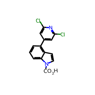 O=C(O)n1ccc2c(-c3cc(Cl)nc(Cl)c3)cccc21